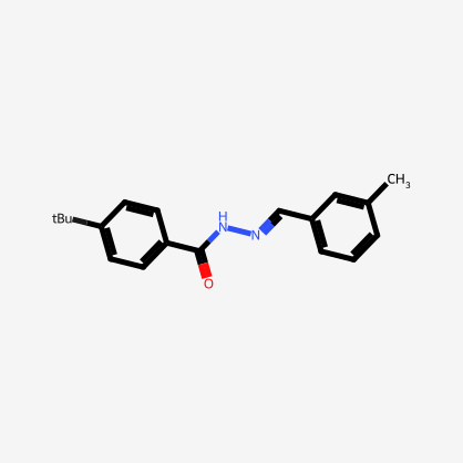 Cc1cccc(/C=N/NC(=O)c2ccc(C(C)(C)C)cc2)c1